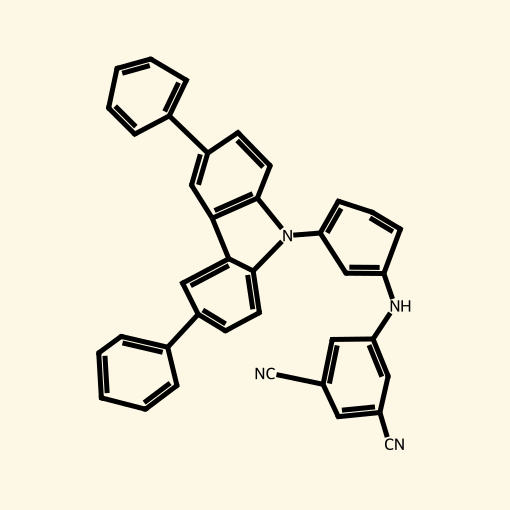 N#Cc1cc(C#N)cc(Nc2cccc(-n3c4ccc(-c5ccccc5)cc4c4cc(-c5ccccc5)ccc43)c2)c1